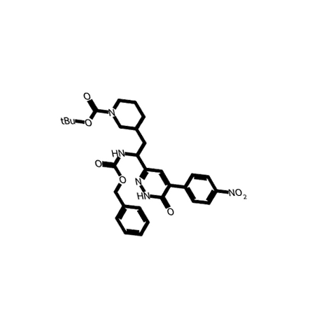 CC(C)(C)OC(=O)N1CCCC(CC(NC(=O)OCc2ccccc2)c2cc(-c3ccc([N+](=O)[O-])cc3)c(=O)[nH]n2)C1